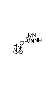 CNc1nc2cc(-c3cccc(CNC(=O)[C@@H]4CCCN4)c3)sc2c2c1ncn2C